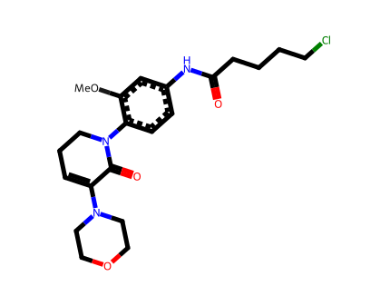 COc1cc(NC(=O)CCCCCl)ccc1N1CCC=C(N2CCOCC2)C1=O